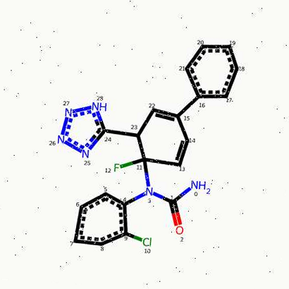 NC(=O)N(c1ccccc1Cl)C1(F)C=CC(c2ccccc2)=CC1c1nnn[nH]1